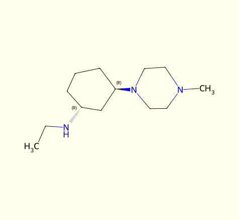 CCN[C@@H]1CCC[C@@H](N2CCN(C)CC2)C1